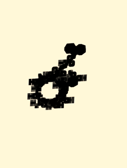 C[C@@H](O)C1NC(=O)[C@@H](N)C[C@@H](O)CNC(=O)[C@@H]2[C@@H](O)[C@@H](C)CN2C(=O)[C@H]([C@H](O)CC(=O)NCCNC(=O)OCC2c3ccccc3-c3ccccc32)NC(=O)[C@H]([C@H](O)Cc2ccc(O)c(OS(=O)(=O)O)c2)NC(=O)[C@@H]2C[C@@H](O)CN2C1=O